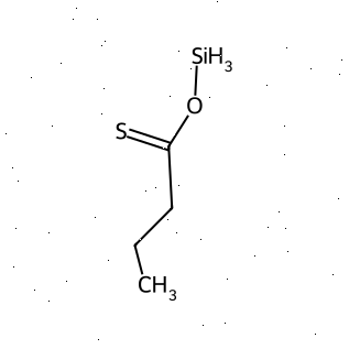 CCCC(=S)O[SiH3]